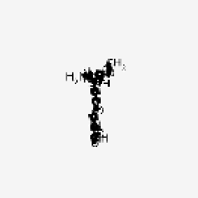 CCCS(=O)(=O)Nc1cccc(-c2nc(-c3ccc(C4CCN(C(=O)CC5CCN(c6ccc([C@@H]7CCC(=O)NC7=O)cn6)CC5)CC4)cc3)sc2-c2ccnc(N)n2)c1F